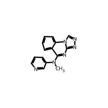 CN(c1cccnc1)c1nc2nncn2c2ccccc12